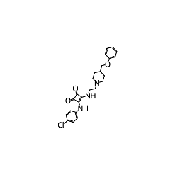 O=c1c(NCCN2CCC(COc3ccccc3)CC2)c(Nc2ccc(Cl)cc2)c1=O